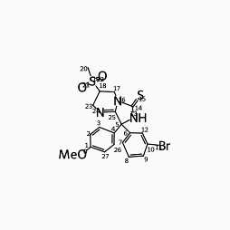 COc1ccc(C2(c3cccc(Br)c3)NC(=S)N3CC(S(C)(=O)=O)CN=C32)cc1